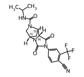 CC(C)NC(=O)N1C[C@@H]2C[C@H]1[C@@H]1C(=O)N(c3ccc(C#N)c(C(F)(F)F)c3)C(=O)N21